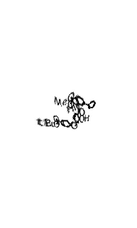 COC(=O)c1ccc(-c2ccccc2)cc1NC(=O)c1ccc(OC2CCN(C(=O)OC(C)(C)C)CC2)cc1O